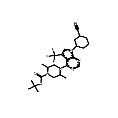 CC1CN(c2ncnc3c2c(C(F)(F)F)cn3C2CCCC(C#N)C2)C(C)CN1C(=O)OC(C)(C)C